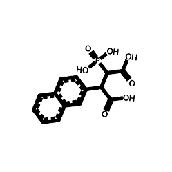 O=C(O)C(c1ccc2ccccc2c1)C(C(=O)O)P(=O)(O)O